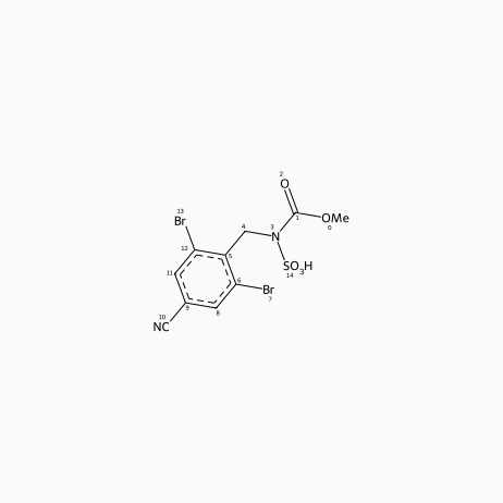 COC(=O)N(Cc1c(Br)cc(C#N)cc1Br)S(=O)(=O)O